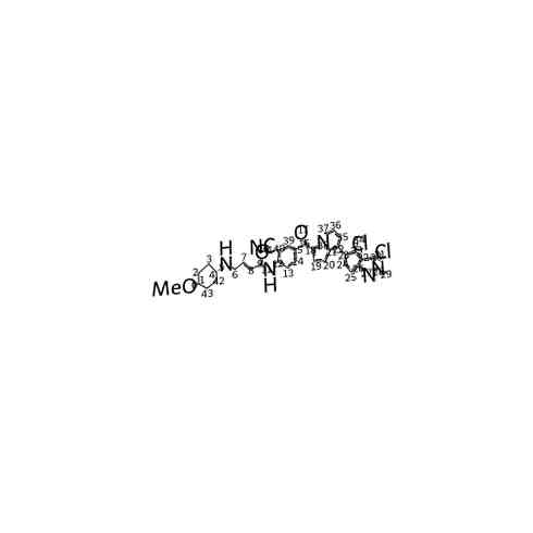 CO[C@H]1CC[C@H](NC/C=C/C(=O)Nc2ccc(C(=O)c3ccc4c(-c5ccc6nn(C)c(Cl)c6c5Cl)cccn34)cc2C#N)CC1